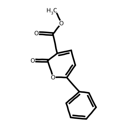 COC(=O)c1ccc(-c2ccccc2)oc1=O